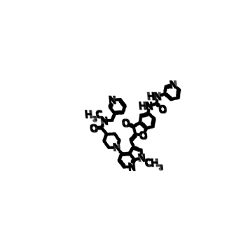 CN(Cc1cccnc1)C(=O)C1CCN(c2ccnc3c2c(C=C2Oc4ccc(NC(=O)Nc5cccnc5)cc4C2=O)cn3C)CC1